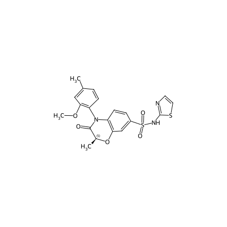 COc1cc(C)ccc1N1C(=O)[C@H](C)Oc2cc(S(=O)(=O)Nc3nccs3)ccc21